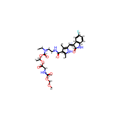 CCN(CCNC(=O)c1c(C)[nH]c(/C=C2\C(=O)Nc3ccc(F)cc32)c1C)C(=O)OC(C)OC(=O)CNC(=O)OCOC